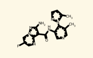 Cc1cncc(NC(=O)c2c(N)nn3cc(F)cnc23)c1-n1nccc1C